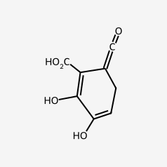 O=C=C1CC=C(O)C(O)=C1C(=O)O